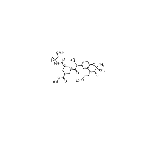 CCOCCN1C(=O)C(C)(C)Oc2ccc(N(C(=O)[C@@H]3C[C@H](C(=O)NC4(COC)CC4)CN(C(=O)OC(C)(C)C)C3)C3CC3)cc21